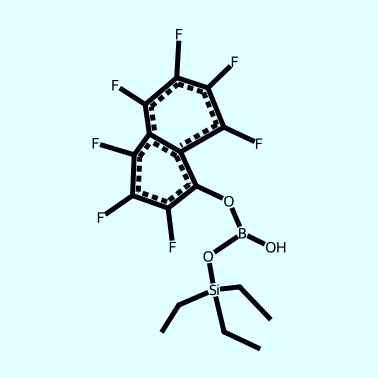 CC[Si](CC)(CC)OB(O)Oc1c(F)c(F)c(F)c2c(F)c(F)c(F)c(F)c12